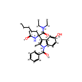 CCCCCC(NC(C)=O)(C(=O)N(CC)CC)c1c(C)n(C(=O)c2ccccc2)c2ccc(O)cc12